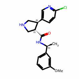 COc1cccc([C@H](C)NC(=O)[C@@H]2CNC[C@H]2c2ccc(Cl)nc2)c1